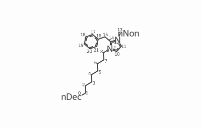 CCCCCCCCCCCCCCCCCC[n+]1ccn(CCCCCCCCC)c1Cc1ccccc1